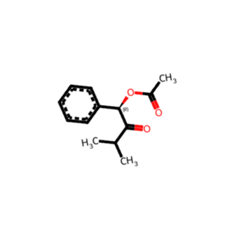 CC(=O)O[C@@H](C(=O)C(C)C)c1ccccc1